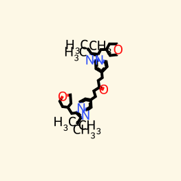 CC(C)(C)c1nc2cc(CCC(=O)CCc3ccn4c(CC5CCOCC5)c(C(C)(C)C)nc4c3)ccn2c1CC1CCOCC1